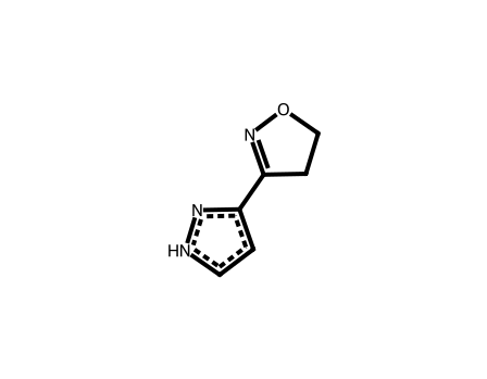 c1cc(C2=NOCC2)n[nH]1